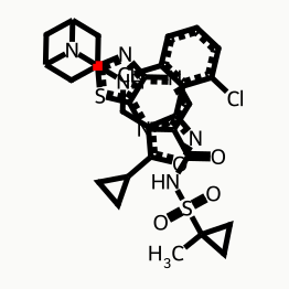 CC1(S(=O)(=O)NC(=O)c2cnc3nc(N4C5CC(NCc6c(-c7c(Cl)cccc7Cl)noc6C6CC6)CC4C5)sc3n2)CC1